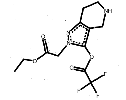 CCOC(=O)Cn1nc2c(c1OC(=O)C(F)(F)F)CNCC2